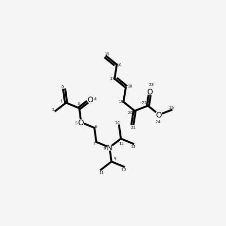 C=C(C)C(=O)OCCN(C(C)C)C(C)C.C=CC=CCC(=C)C(=O)OC